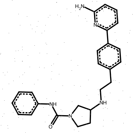 Nc1cccc(-c2ccc(CCNC3CCN(C(=O)Nc4ccccc4)C3)cc2)n1